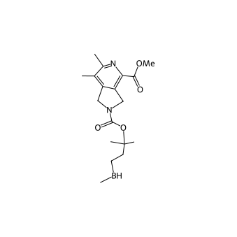 CBCCC(C)(C)OC(=O)N1Cc2c(C(=O)OC)nc(C)c(C)c2C1